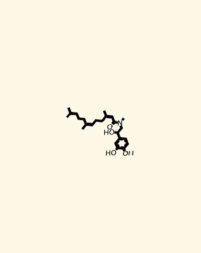 CC(C)=CCCC(C)=CCCC(C)=CC(=O)N(C)CC(O)c1ccc(O)c(O)c1